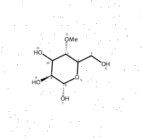 CO[C@@H]1C(CO)O[C@H](O)[C@@H](O)C1O